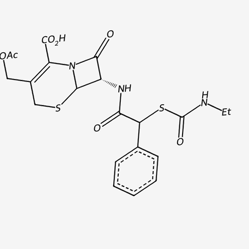 CCNC(=O)SC(C(=O)N[C@H]1C(=O)N2C(C(=O)O)=C(COC(C)=O)CSC12)c1ccccc1